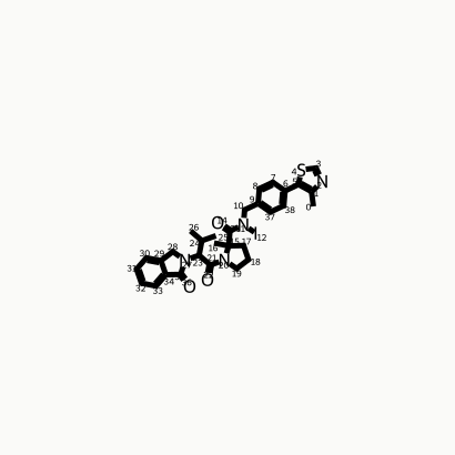 Cc1ncsc1-c1ccc(CN(I)C(=O)C2(C)CCCN2C(=O)C(C(C)C)N2Cc3ccccc3C2=O)cc1